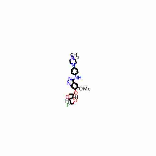 COc1cc2c(Nc3ccc(N4CCN(C)CC4)cc3)ncnc2cc1O[C@H]1CO[C@H]2[C@@H]1OC[C@@H]2F